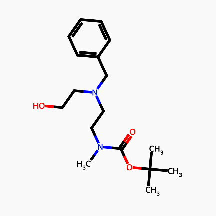 CN(CCN(CCO)Cc1ccccc1)C(=O)OC(C)(C)C